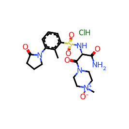 Cc1c(N2CCCC2=O)cccc1S(=O)(=O)N[C@@H](C(N)=O)C(=O)N1CC[N+](C)([O-])CC1.Cl